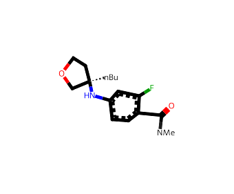 CCCC[C@@]1(Nc2ccc(C(=O)NC)c(F)c2)CCOC1